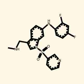 CNCc1cn(S(=O)(=O)c2cccnc2)c2cc(Nc3ccc(F)cc3F)ccc12